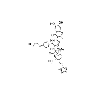 CO[C@@]1(NC(=O)C(NC(=O)c2c(C)oc3cc(O)c(O)cc3c2=O)c2ccc(OCC(=O)O)cc2)C(=O)N2C(C(=O)O)=C(CSc3nnnn3C)CS[C@@H]21